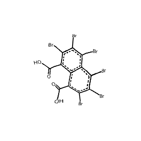 O=C(O)c1c(Br)c(Br)c(Br)c2c(Br)c(Br)c(Br)c(C(=O)O)c12